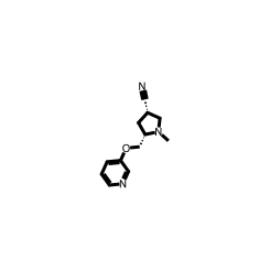 CN1C[C@@H](C#N)C[C@H]1COc1cccnc1